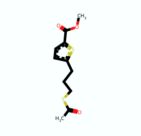 COC(=O)c1ccc(CCCSC(C)=O)s1